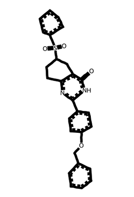 O=c1[nH]c(-c2ccc(OCc3ccccc3)cc2)nc2c1CC(S(=O)(=O)c1ccccc1)CC2